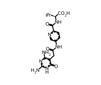 CC(C)[C@H](NC(=O)c1ccc(NC(=O)Cc2c(N)nc(N)[nH]c2=O)cn1)C(=O)O